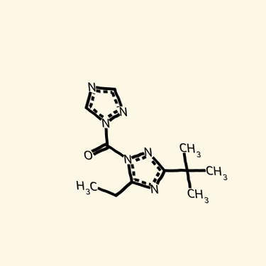 CCc1nc(C(C)(C)C)nn1C(=O)n1cncn1